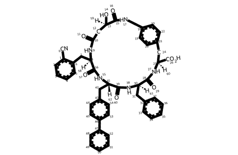 N#Cc1ccccc1C[C@H]1NC(=O)C[C@@H](O)C(=O)Nc2ccc(cc2)C[C@@H](C(=O)O)NC(=O)[C@@H](Cc2ccccc2)NC(=O)[C@H](Cc2ccc(-c3ccccc3)cc2)NC1=O